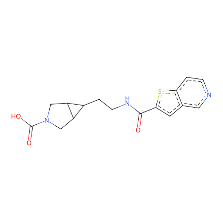 O=C(NCCC1C2CN(C(=O)O)CC12)c1cc2cnccc2s1